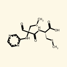 CSC[C@H](NC(=O)[C@](C=O)(CSC)Nc1cnccn1)C(=O)O